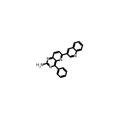 Nc1nc(-c2ccccc2)c2nc(-c3cnc4ccccc4c3)ccc2n1